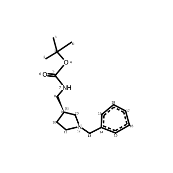 CC(C)(C)OC(=O)NC[C@@H]1CCN(Cc2ccccc2)C1